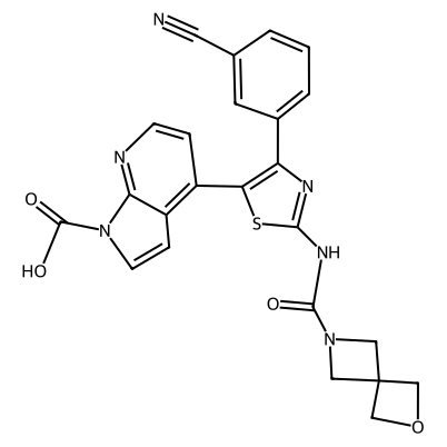 N#Cc1cccc(-c2nc(NC(=O)N3CC4(COC4)C3)sc2-c2ccnc3c2ccn3C(=O)O)c1